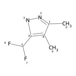 CC1=N[N]C(C(F)F)=C1C